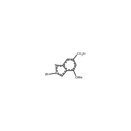 CCOC(=O)c1cc(OC)c2cn(C(C)C)nc2c1